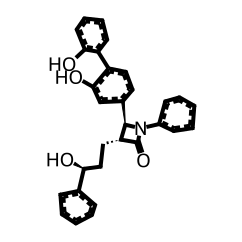 O=C1[C@H](CC[C@H](O)c2ccccc2)[C@@H](c2ccc(-c3ccccc3O)c(O)c2)N1c1ccccc1